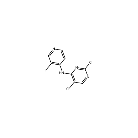 Clc1ncc(Cl)c(Nc2ccncc2I)n1